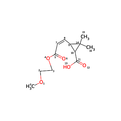 COCCOC(=O)/C=C\C1C(C(=O)O)C1(C)C